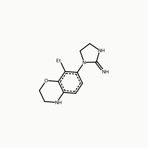 CCc1c(N2CCNC2=N)ccc2c1OCCN2